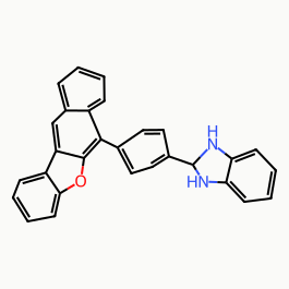 c1ccc2c(c1)NC(c1ccc(-c3c4ccccc4cc4c3oc3ccccc34)cc1)N2